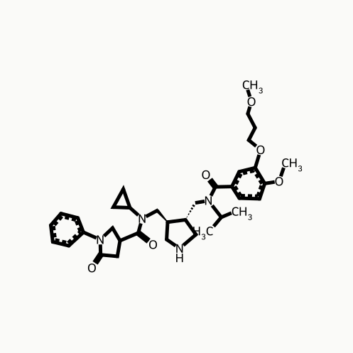 COCCCOc1cc(C(=O)N(C[C@@H]2CNC[C@H]2CN(C(=O)C2CC(=O)N(c3ccccc3)C2)C2CC2)C(C)C)ccc1OC